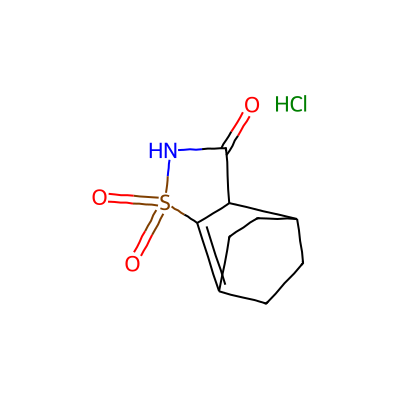 Cl.O=C1NS(=O)(=O)C2=C3CCC(CC3)C12